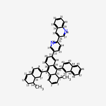 CC1C=CC=C2C(C3=CC=C4C=CCC(C)C4C3)=c3ccc(-c4ccc(-c5cnc6ccccc6c5)nc4)cc3=C(c3ccc4ccccc4c3)C21